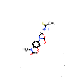 COC(=S)NC[C@H]1CN(c2ccc3c(c2)OCC(=O)N3C)C(=O)O1